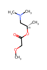 COCC(=O)O[C@@H](C)CN(C)C